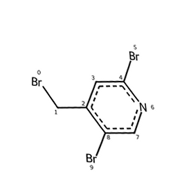 BrCc1cc(Br)ncc1Br